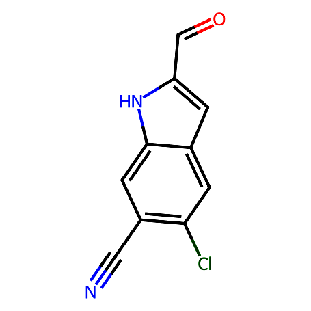 N#Cc1cc2[nH]c(C=O)cc2cc1Cl